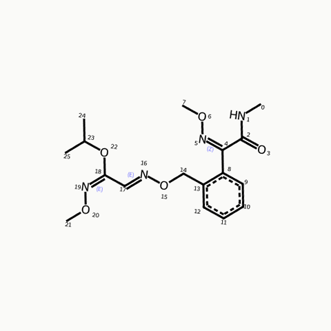 CNC(=O)/C(=N\OC)c1ccccc1CO/N=C/C(=N\OC)OC(C)C